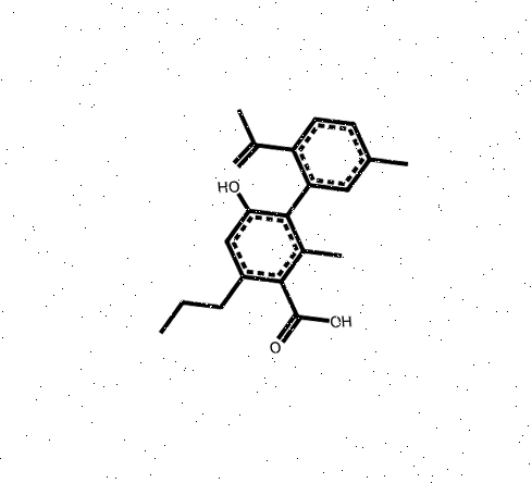 C=C(C)c1ccc(C)cc1-c1c(O)cc(CCC)c(C(=O)O)c1C